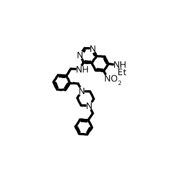 CCNc1cc2ncnc(NCc3ccccc3CN3CCN(Cc4ccccc4)CC3)c2cc1[N+](=O)[O-]